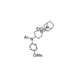 CCOC(=O)N1C2CCC1CC(N1CCC(N(C(C)=O)c3ccc(OC)cc3)CC1)C2